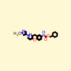 Cn1cc(-n2ccc(=O)c(Cc3cccc(NC(=O)OCC4CCCCC4)c3)n2)cn1